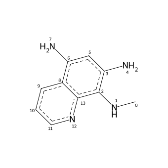 CNc1c(N)cc(N)c2cccnc12